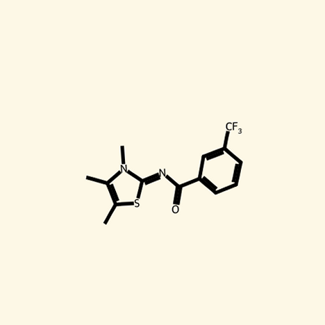 Cc1s/c(=N\C(=O)c2cccc(C(F)(F)F)c2)n(C)c1C